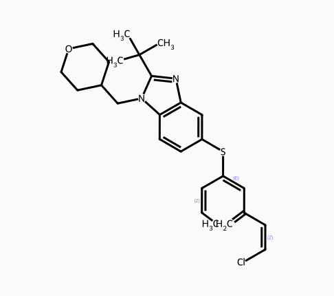 C=C(/C=C\Cl)/C=C(\C=C/C)Sc1ccc2c(c1)nc(C(C)(C)C)n2CC1CCOCC1